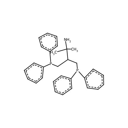 CC(C)(N)C(CP(c1ccccc1)c1ccccc1)CP(c1ccccc1)c1ccccc1